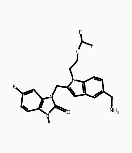 Cn1c(=O)n(Cc2cc3cc(CN)ccc3n2CCCC(F)F)c2cc(F)ccc21